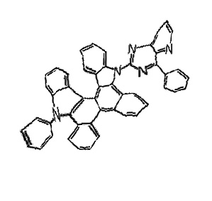 c1ccc(-c2nc(-n3c4ccccc4c4c5c(c6ccccc6c6c5c5ccccc5n6-c5ccccc5)c5ccccc5c43)nc3cccnc23)cc1